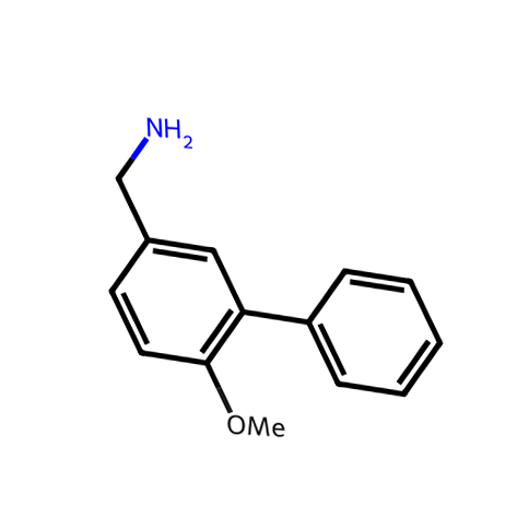 COc1ccc(CN)cc1-c1ccccc1